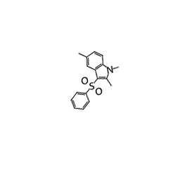 Cc1ccc2c(c1)c(S(=O)(=O)c1ccccc1)c(C)n2C